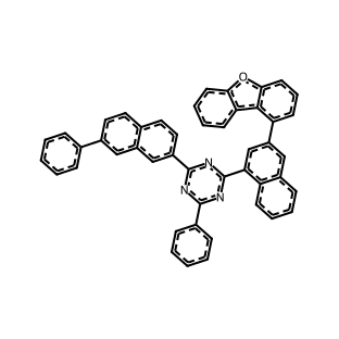 c1ccc(-c2ccc3ccc(-c4nc(-c5ccccc5)nc(-c5cc(-c6cccc7oc8ccccc8c67)cc6ccccc56)n4)cc3c2)cc1